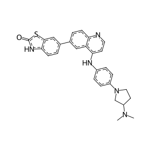 CN(C)C1CCN(c2ccc(Nc3ccnc4ccc(-c5ccc6[nH]c(=O)sc6c5)cc34)cc2)C1